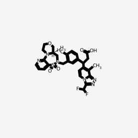 Cc1ccc(C(CC(=O)O)c2ccn3c(C(F)F)nnc3c2C)cc1CN1C[C@@H]2COCCN2c2ncccc2S1(=O)=O